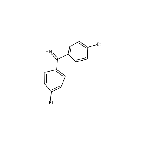 CCc1ccc(C(=N)c2ccc(CC)cc2)cc1